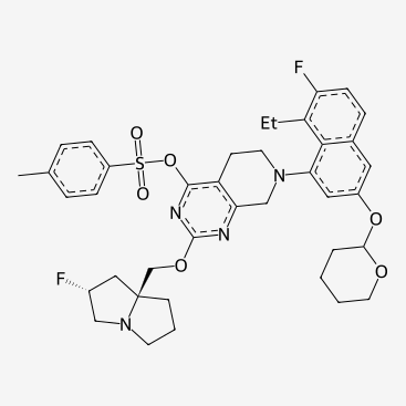 CCc1c(F)ccc2cc(OC3CCCCO3)cc(N3CCc4c(nc(OC[C@@]56CCCN5C[C@H](F)C6)nc4OS(=O)(=O)c4ccc(C)cc4)C3)c12